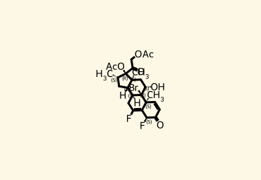 CC(=O)OCC(=O)[C@@]1(OC(C)=O)[C@@H](C)C[C@H]2[C@@H]3CC(F)=C4[C@H](F)C(=O)C=C[C@]4(C)[C@@]3(Br)[C@@H](O)C[C@@]21C